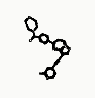 Cc1cc(C#Cc2cnn3ccc(-c4ccc(C(=O)N5CCOCC5)cc4)nc23)ccn1